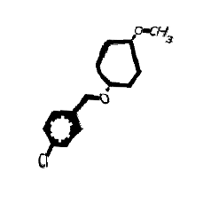 CO[C@H]1CC[C@H](OCc2ccc(Cl)cc2)CC1